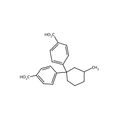 CC1CCCC(c2ccc(C(=O)O)cc2)(c2ccc(C(=O)O)cc2)C1